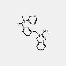 CN(C(=O)c1cccc(CN2Cc3ccccc3N=C2N)c1)c1ccccc1